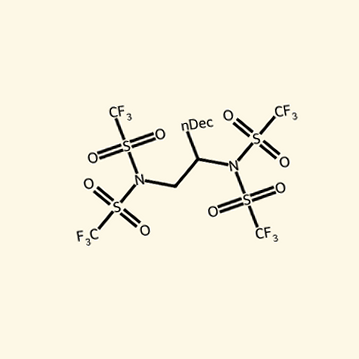 CCCCCCCCCCC(CN(S(=O)(=O)C(F)(F)F)S(=O)(=O)C(F)(F)F)N(S(=O)(=O)C(F)(F)F)S(=O)(=O)C(F)(F)F